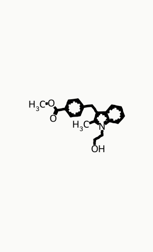 COC(=O)c1ccc(Cc2c(C)n(CCO)c3ccccc23)cc1